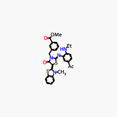 CCNc1ccc(C(C)=O)cc1N=C1SC(=C2Sc3ccccc3N2C)C(=O)N1Cc1cccc(C(=O)OC)c1